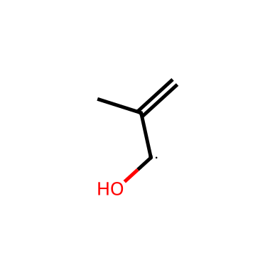 C=C(C)[CH]O